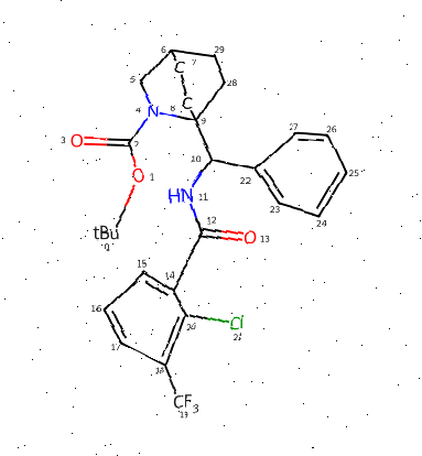 CC(C)(C)OC(=O)N1CC2CCC1(C(NC(=O)c1cccc(C(F)(F)F)c1Cl)c1ccccc1)CC2